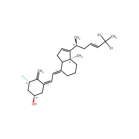 C=C1/C(=C\C=C2/CCC[C@]3(C)C([C@@H](C)C/C=C/C(C)(CC)CC)=CCC23)C[C@@H](O)C[C@@H]1F